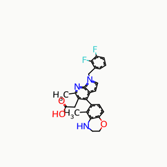 Cc1nc2c(ccn2Cc2cccc(F)c2F)c(-c2ccc3c(c2C)NCCO3)c1CC(=O)O